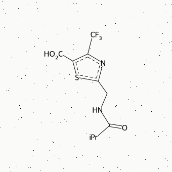 CC(C)C(=O)NCc1nc(C(F)(F)F)c(C(=O)O)s1